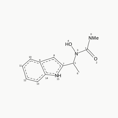 CNC(=O)N(O)C(C)c1cc2ccccc2[nH]1